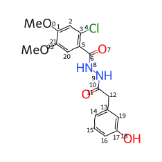 COc1cc(Cl)c(C(=O)NNC(=O)Cc2cccc(O)c2)cc1OC